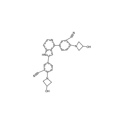 N#Cc1cc(-c2cc3c(-c4ccc(N5CC(O)C5)c(C#N)c4)nccc3[nH]2)ccc1N1CC(O)C1